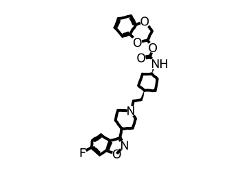 O=C(N[C@H]1CC[C@H](CCN2CCC(c3noc4cc(F)ccc34)CC2)CC1)OC1COc2ccccc2O1